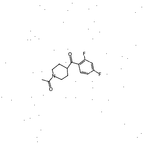 CC(=O)N1CCC(C(=O)c2ccc(F)cc2F)CC1